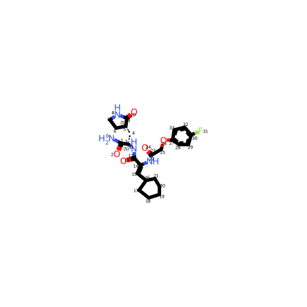 NC(=O)[C@H](C[C@@H]1CCNC1=O)NC(=O)C(=CC1CCCCC1)NC(=O)COc1ccc(F)cc1